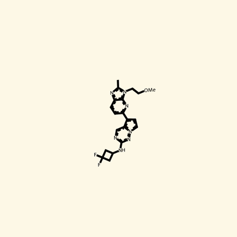 COCCn1c(C)nc2ccc(-c3ccn4nc(NC5CC(F)(F)C5)ncc34)nc21